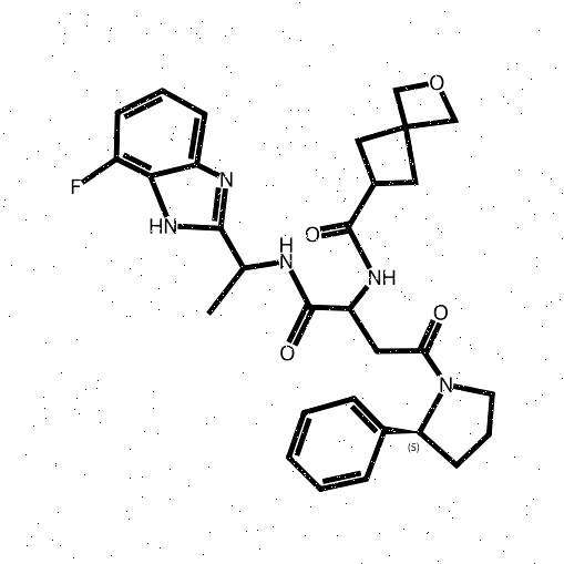 CC(NC(=O)C(CC(=O)N1CCC[C@H]1c1ccccc1)NC(=O)C1CC2(COC2)C1)c1nc2cccc(F)c2[nH]1